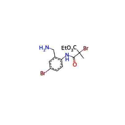 CCOC(=O)C(C)(Br)C(=O)Nc1ccc(Br)cc1CN